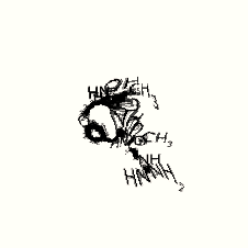 COC(=O)[C@H](CCCNC(=N)N)NC(=O)C1Cc2ccc(cc2)OCCC[C@H](C(=O)NO)[C@@H](CC(C)C)C(=O)N1